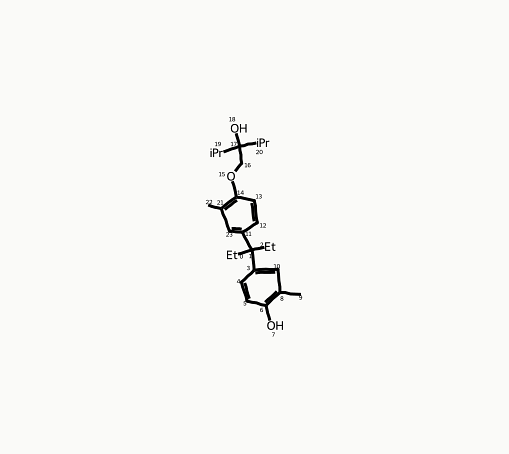 CCC(CC)(c1ccc(O)c(C)c1)c1ccc(OCC(O)(C(C)C)C(C)C)c(C)c1